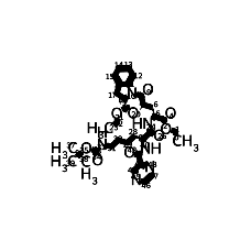 CCOC(=O)[C@@H](CCC(=O)N1c2ccccc2C[C@H]1C(=O)OCC)NC(=O)[C@H](CCCCNC(=O)OC(C)(C)C)NC(=O)c1cnccn1